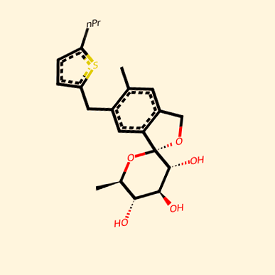 CCCc1ccc(Cc2cc3c(cc2C)CO[C@]32O[C@H](C)[C@@H](O)[C@H](O)[C@H]2O)s1